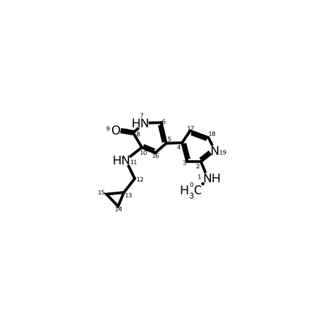 CNc1cc(-c2c[nH]c(=O)c(NCC3CC3)c2)ccn1